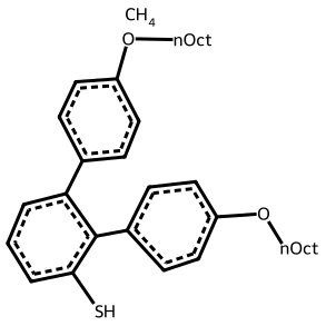 C.CCCCCCCCOc1ccc(-c2cccc(S)c2-c2ccc(OCCCCCCCC)cc2)cc1